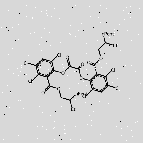 CCCCCC(CC)COC(=O)c1c(Cl)c(Cl)cc(Cl)c1OC(=O)C(=O)Oc1c(Cl)cc(Cl)c(Cl)c1C(=O)OCC(CC)CCCCC